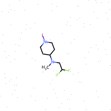 CN(CC(F)F)C1CCN(I)CC1